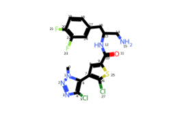 Cn1nnc(Cl)c1-c1cc(C(=O)NC(CN)Cc2ccc(F)c(F)c2)sc1Cl